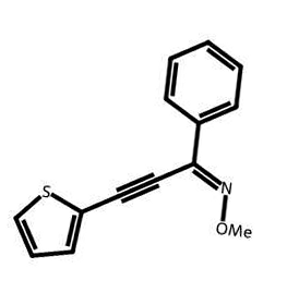 CON=C(C#Cc1cccs1)c1ccccc1